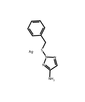 Nc1cnn(SCc2ccccc2)n1.[Ag]